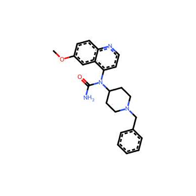 COc1ccc2nccc(N(C(N)=O)C3CCN(Cc4ccccc4)CC3)c2c1